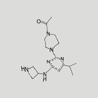 CC(=O)N1CCN(c2nc(NC3CNC3)cc(C(C)C)n2)CC1